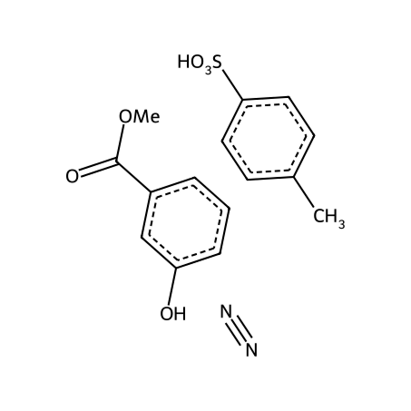 COC(=O)c1cccc(O)c1.Cc1ccc(S(=O)(=O)O)cc1.N#N